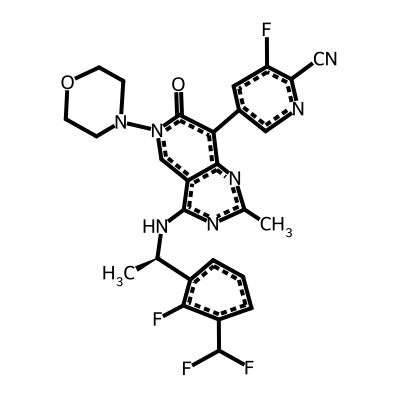 Cc1nc(N[C@H](C)c2cccc(C(F)F)c2F)c2cn(N3CCOCC3)c(=O)c(-c3cnc(C#N)c(F)c3)c2n1